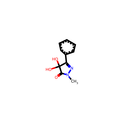 CN1N=C(c2ccccc2)C(O)(O)C1=O